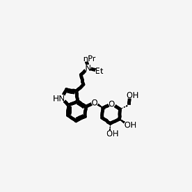 CCCN(CC)CCc1c[nH]c2cccc(O[C@@H]3C[C@@H](O)[C@H](O)[C@@H](CO)O3)c12